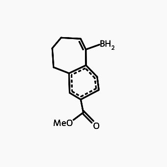 BC1=CCCCc2cc(C(=O)OC)ccc21